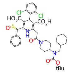 CC(C)(C)OC(=O)N(CC1CCCCC1)C1CCN(C(=O)CC2=C(C(=O)O)C(c3c(Cl)cccc3Cl)C(C(=O)O)=C(C(=S=O)c3ccccc3)N2)CC1